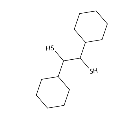 SC(C1CCCCC1)C(S)C1CCCCC1